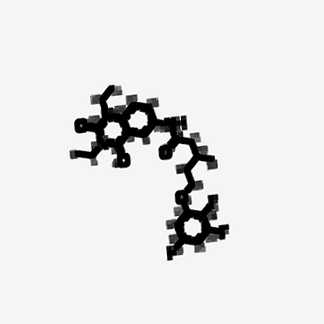 CCn1c(=O)c2cc(NC(=O)CC(C)CCOc3cc(F)cc(F)c3F)ccc2n(CC)c1=O